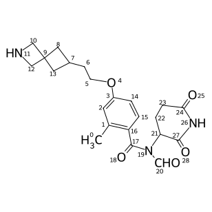 Cc1cc(OCCC2CC3(CNC3)C2)ccc1C(=O)N(C=O)C1CCC(=O)NC1=O